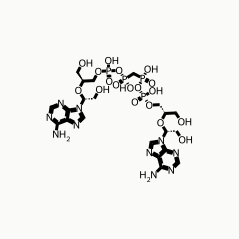 Nc1ncnc2c1ncn2[C@@H](CO)O[C@@H](CO)COP(=O)(O)OP(=O)(O)CP(=O)(O)OP(=O)(O)OC[C@H](CO)O[C@H](CO)n1cnc2c(N)ncnc21